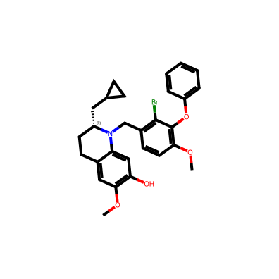 COc1cc2c(cc1O)N(Cc1ccc(OC)c(Oc3ccccc3)c1Br)[C@@H](CC1CC1)CC2